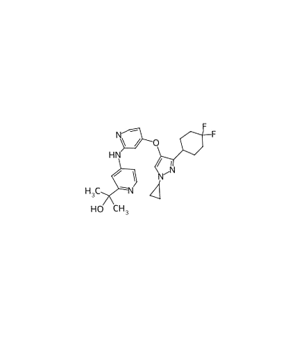 CC(C)(O)c1cc(Nc2cc(Oc3cn(C4CC4)nc3C3CCC(F)(F)CC3)ccn2)ccn1